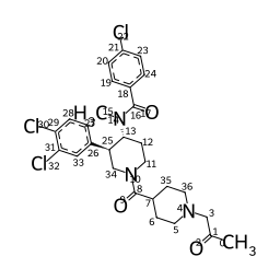 CC(=O)CN1CCC(C(=O)N2CC[C@@H](N(C)C(=O)c3ccc(Cl)cc3)[C@H](c3ccc(Cl)c(Cl)c3)C2)CC1